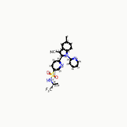 Cc1ccc2c(c1)c(C#N)c(-c1ccc(S(=O)(=O)N[C@@H](C)C(F)(F)F)cn1)n2-c1ccccn1